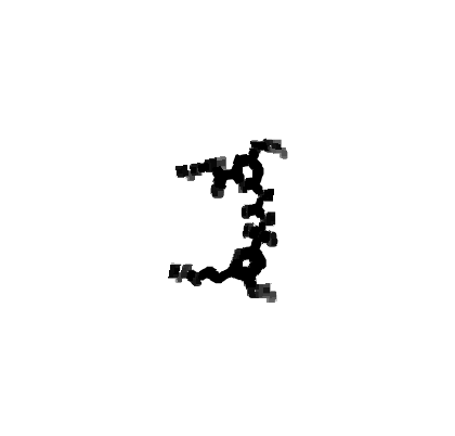 CNC(=O)c1cc(SC)cc(NC(=O)NS(=O)(=O)c2cc(C)c(CCOC)s2)n1